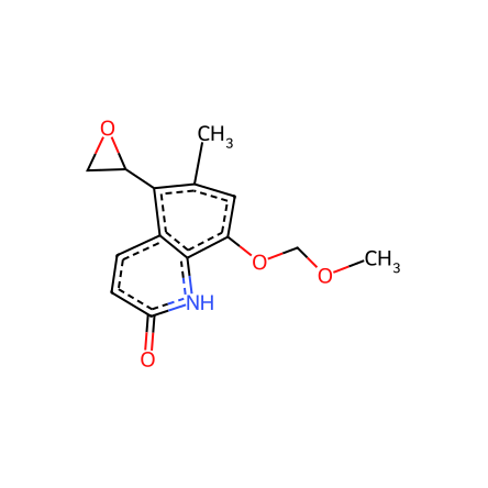 COCOc1cc(C)c(C2CO2)c2ccc(=O)[nH]c12